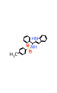 Cc1ccc(S(=O)(=O)NC(c2ccccc2)c2cc3ccccc3[nH]2)cc1